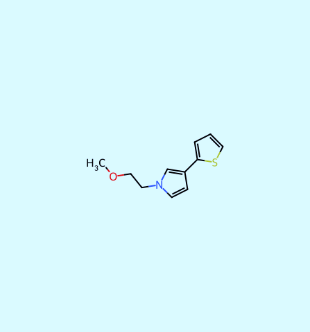 COCCn1ccc(-c2cccs2)c1